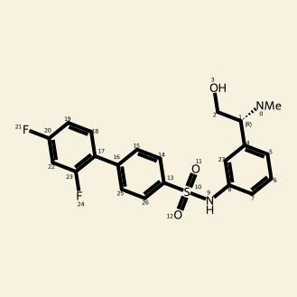 CN[C@@H](CO)c1cccc(NS(=O)(=O)c2ccc(-c3ccc(F)cc3F)cc2)c1